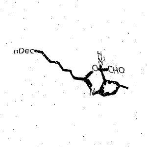 CCCCCCCCCCCCCCCCC1=Nc2ccc(C)cc2C(N)(C=O)O1